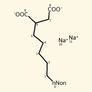 CCCCCCCCCCCCCCC(CC(=O)[O-])C(=O)[O-].[Na+].[Na+]